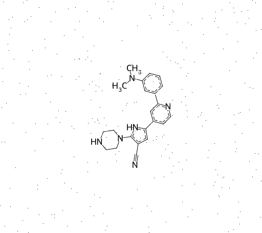 CN(C)c1cccc(-c2cc(-c3cc(C#N)c(N4CCNCC4)[nH]3)ccn2)c1